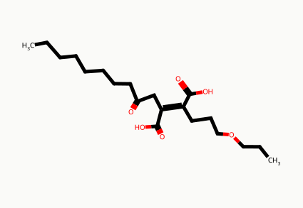 CCCCCCCCC(=O)C/C(C(=O)O)=C(/CCCOCCC)C(=O)O